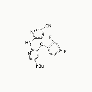 CCCCc1cnc(Nc2ccc(C#N)cn2)c(Oc2ccc(F)cc2F)c1